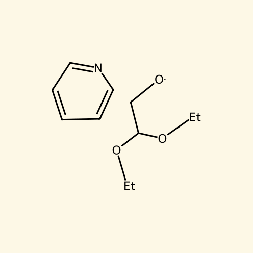 CCOC(C[O])OCC.c1ccncc1